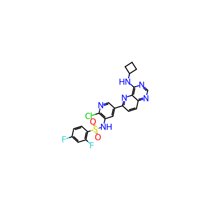 O=S(=O)(Nc1cc(-c2ccc3ncnc(NC4CCC4)c3n2)cnc1Cl)c1ccc(F)cc1F